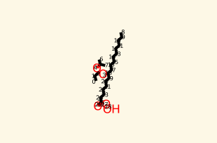 CCC(=O)OC(C)C.CCCCCCCCCCCCCCCCCC(=O)OO